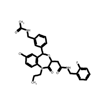 CCCN1C(=O)C(CC(=O)NCc2ccccc2F)OC(c2cccc(CNC(C)=O)c2)c2cc(Cl)ccc21